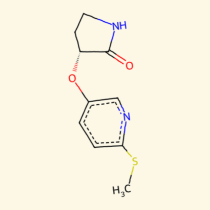 CSc1ccc(O[C@@H]2CCNC2=O)cn1